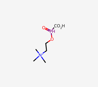 C[N+](C)(C)CCO[PH](=O)C(=O)O